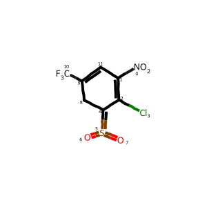 O=[N+]([O-])C1=C(Cl)C(=S(=O)=O)CC(C(F)(F)F)=C1